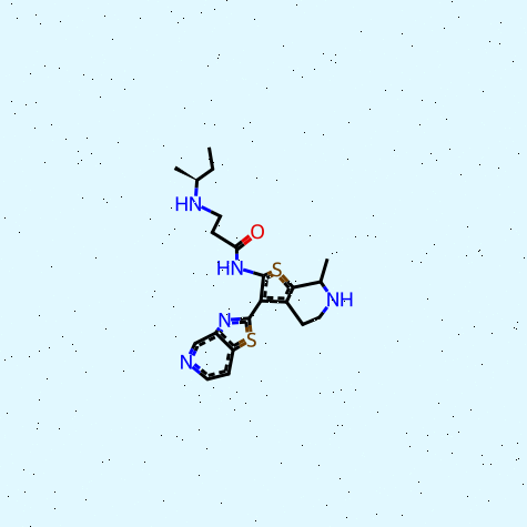 CC[C@H](C)NCCC(=O)Nc1sc2c(c1-c1nc3cnccc3s1)CCNC2C